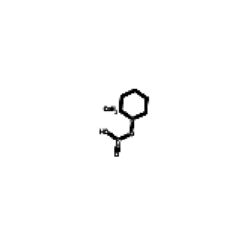 O=[PH](O)ON1CCCCC1.[CaH2]